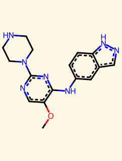 COc1cnc(N2CCNCC2)nc1Nc1ccc2[nH]ncc2c1